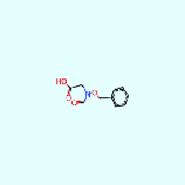 O=CN(CC(=O)O)OCc1ccccc1